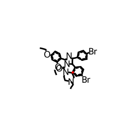 CCOc1ccc(C2=NC(c3ccc(Br)cc3)C(c3ccc(Br)cc3)N2C(=O)N2CCN(CC)CC2)c(OCC)c1